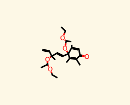 C=CC(C)(/C=C/C1(OC(C)OCC)C(C)=CC(=O)C(C)=C1C)OC(C)OCC